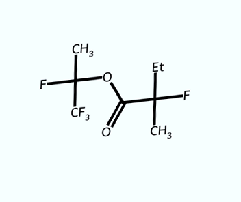 CCC(C)(F)C(=O)OC(C)(F)C(F)(F)F